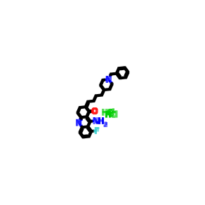 Cl.Cl.Nc1c2c(nc3cccc(F)c13)CCC(=CCCCC1CCN(Cc3ccccc3)CC1)C2=O